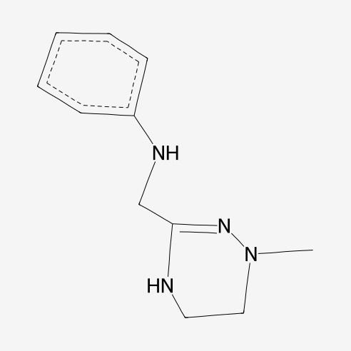 CN1CCNC(CNc2ccccc2)=N1